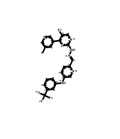 Cc1cncc(-c2nc(N/N=C/c3ccc(Nc4cccc(C(F)(F)F)c4)cn3)ncc2F)c1